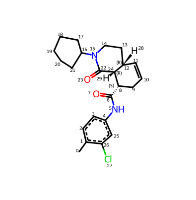 Cc1ccc(NC(=O)[C@H]2CC=C[C@H]3CCN(C4CCCCC4)C(=O)[C@@H]23)cc1Cl